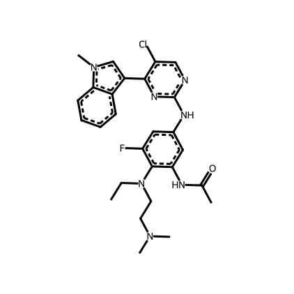 CCN(CCN(C)C)c1c(F)cc(Nc2ncc(Cl)c(-c3cn(C)c4ccccc34)n2)cc1NC(C)=O